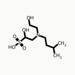 CC(C)CCN(CCO)CC(O)S(=O)(=O)O